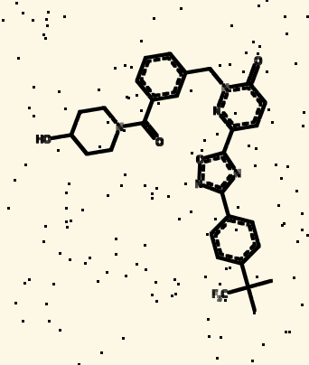 CC(C)(c1ccc(-c2noc(-c3ccc(=O)n(Cc4cccc(C(=O)N5CCC(O)CC5)c4)n3)n2)cc1)C(F)(F)F